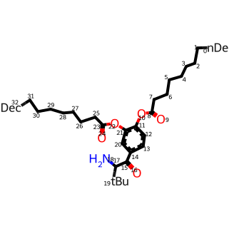 CCCCCCCCCCCCCCCCCC(=O)Oc1ccc(C(=O)C(N)C(C)(C)C)cc1OC(=O)CCCCCCCCCCCCCCCCC